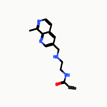 COC(=O)NCCNCc1cnc2c(C)nccc2c1